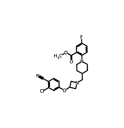 COC(=O)c1cc(F)ccc1N1CCC(CN2CC(Oc3ccc(C#N)c(Cl)c3)C2)CC1